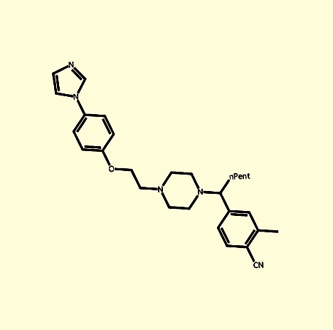 CCCCCC(c1ccc(C#N)c(C)c1)N1CCN(CCOc2ccc(-n3ccnc3)cc2)CC1